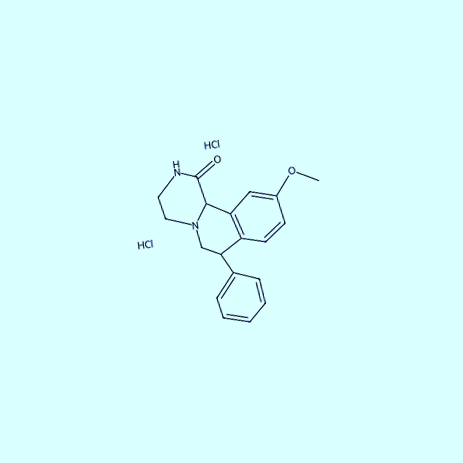 COc1ccc2c(c1)C1C(=O)NCCN1CC2c1ccccc1.Cl.Cl